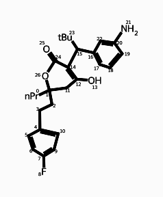 CCCC1(CCc2ccc(F)cc2)CC(O)=C(C(c2cccc(N)c2)C(C)(C)C)C(=O)O1